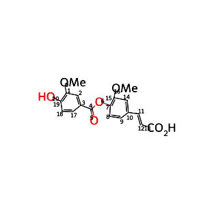 COc1cc(C(=O)Oc2ccc(C=CC(=O)O)cc2OC)ccc1O